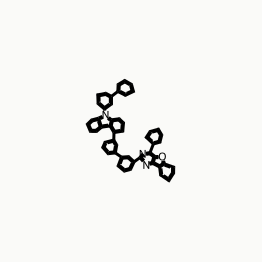 c1ccc(-c2cccc(-n3c4ccccc4c4c(-c5cccc(-c6cccc(-c7nc(-c8ccccc8)c8oc9ccccc9c8n7)c6)c5)cccc43)c2)cc1